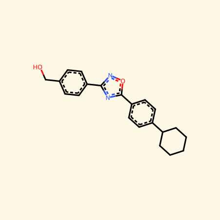 OCc1ccc(-c2noc(-c3ccc(C4CCCCC4)cc3)n2)cc1